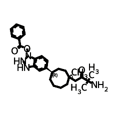 CC(C)(N)C(=O)C[C@@]1(C)CCCC[C@@H](c2ccc3c(c2)NNN3OC(=O)c2ccccc2)CC1